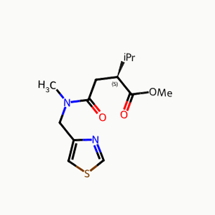 COC(=O)[C@@H](CC(=O)N(C)Cc1cscn1)C(C)C